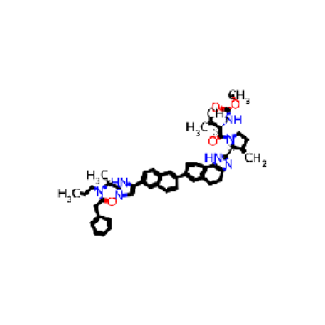 C=C1CCN(C(=O)[C@@H](NC(=O)OC)C(C)C)[C@@H]1c1nc2c([nH]1)-c1ccc(-c3ccc4cc(-c5cnc([C@H](C)N(CCC)C(=O)Cc6ccccc6)[nH]5)ccc4c3)cc1CC2